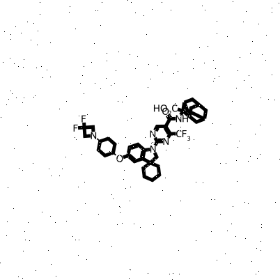 O=C(NC1(C(=O)O)C2CC3CC(C2)CC1C3)c1cnc(N2CC3(CCCCC3)c3cc(O[C@H]4CC[C@@H](N5CC(F)(F)C5)CC4)ccc32)nc1C(F)(F)F